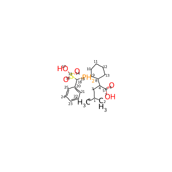 CC(C)CC(C(=O)O)C1CCCCC1.O=S(=O)(O)C(P)c1ccccc1